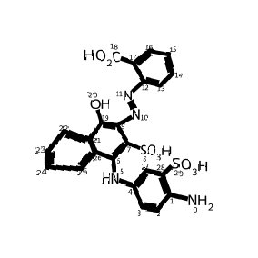 Nc1ccc(Nc2c(S(=O)(=O)O)c(N=Nc3ccccc3C(=O)O)c(O)c3ccccc23)cc1S(=O)(=O)O